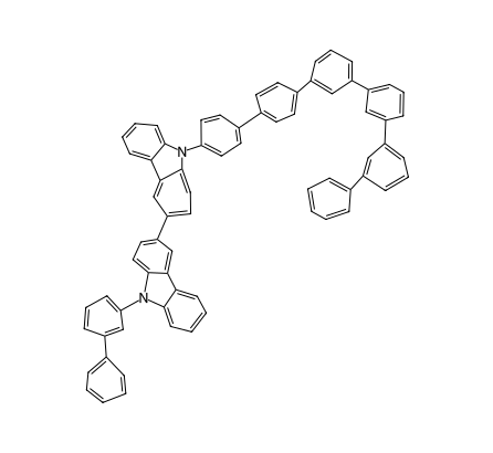 c1ccc(-c2cccc(-c3cccc(-c4cccc(-c5ccc(-c6ccc(-n7c8ccccc8c8cc(-c9ccc%10c(c9)c9ccccc9n%10-c9cccc(-c%10ccccc%10)c9)ccc87)cc6)cc5)c4)c3)c2)cc1